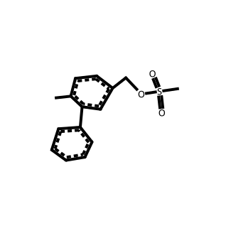 Cc1ccc(COS(C)(=O)=O)cc1-c1ccccc1